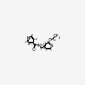 O=C(NCc1ccnc(OCC(F)(F)F)c1)c1ccncc1